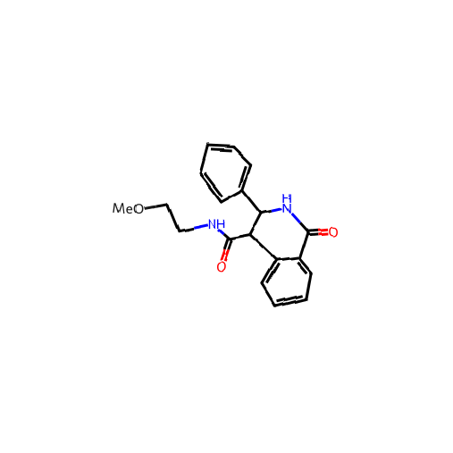 COCCNC(=O)C1c2ccccc2C(=O)NC1c1ccccc1